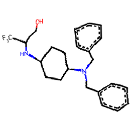 OCC(N[C@H]1CC[C@@H](N(Cc2ccccc2)Cc2ccccc2)CC1)C(F)(F)F